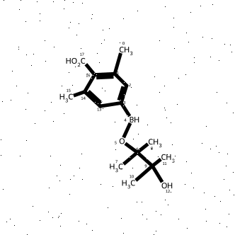 Cc1cc(BOC(C)(C)C(C)(C)O)cc(C)c1C(=O)O